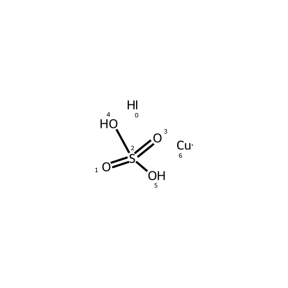 I.O=S(=O)(O)O.[Cu]